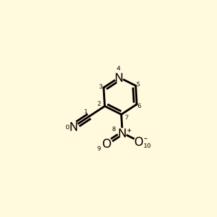 N#Cc1cnccc1[N+](=O)[O-]